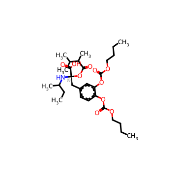 CCCCOC(=O)Oc1ccc(C[C@](NC(C)CC)(OC(=O)C(C)C(C)C)C(=O)O)cc1OC(=O)OCCCC